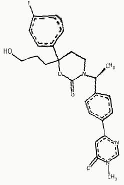 C[C@@H](c1ccc(-c2cc(=O)n(C)cn2)cc1)N1CCC(CCCO)(c2ccc(F)cc2)OC1=O